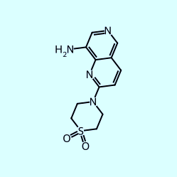 Nc1cncc2ccc(N3CCS(=O)(=O)CC3)nc12